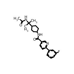 CC(=O)NC(C)(C)C1CCC(NC(=O)c2ccc(-c3cccc(F)c3)nc2)CC1